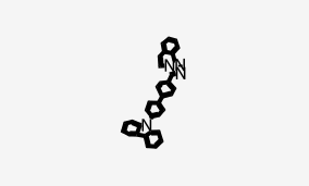 c1ccc2c(c1)ccn1c(-c3ccc(-c4ccc(-n5c6ccccc6c6ccccc65)cc4)cc3)nnc21